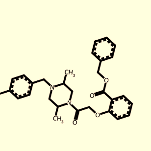 CC1CN(C(=O)COc2ccccc2C(=O)OCc2ccccc2)C(C)CN1Cc1ccc(F)cc1